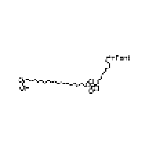 CCCCC/C=C\C/C=C\CCCCCCC(Cl)(Cl)C(=O)OCCCCCCCCCCCCCCCCCCC1OC1O